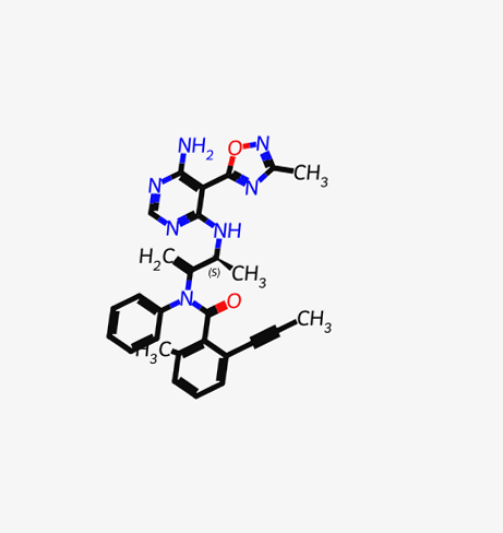 C=C([C@H](C)Nc1ncnc(N)c1-c1nc(C)no1)N(C(=O)c1c(C)cccc1C#CC)c1ccccc1